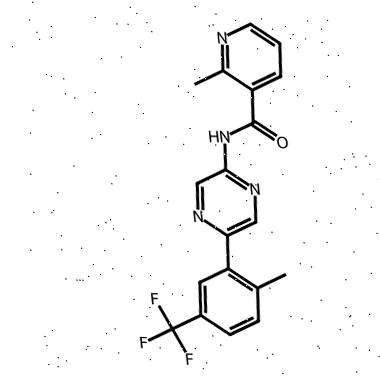 Cc1ccc(C(F)(F)F)cc1-c1cnc(NC(=O)c2cccnc2C)cn1